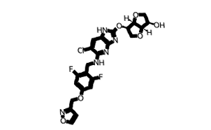 O[C@@H]1CO[C@H]2[C@@H]1OC[C@H]2Oc1nc2nc(NCc3c(F)cc(OCc4ccon4)cc3F)c(Cl)cc2[nH]1